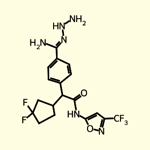 NN/N=C(\N)c1ccc(C(C(=O)Nc2cc(C(F)(F)F)no2)C2CCC(F)(F)C2)cc1